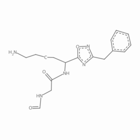 NCCCCC(NC(=O)CNC=O)c1nc(Cc2ccccc2)no1